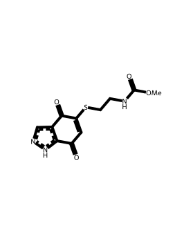 COC(=O)NCCSC1=CC(=O)c2[nH]ncc2C1=O